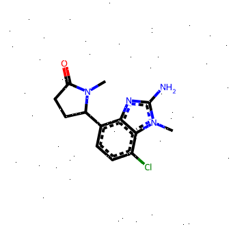 CN1C(=O)CCC1c1ccc(Cl)c2c1nc(N)n2C